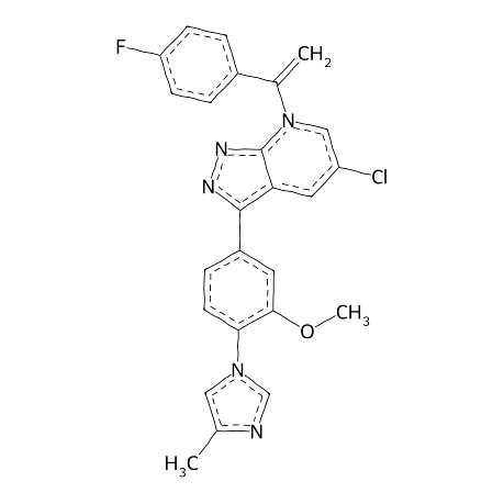 C=C(c1ccc(F)cc1)n1cc(Cl)cc2c(-c3ccc(-n4cnc(C)c4)c(OC)c3)nnc1-2